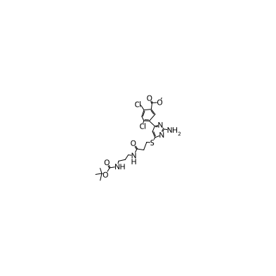 COC(=O)c1cc(-c2cc(SCCC(=O)NCCCNC(=O)OC(C)(C)C)nc(N)n2)c(Cl)cc1Cl